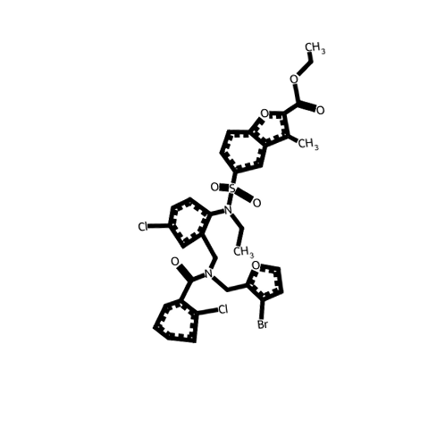 CCOC(=O)c1oc2ccc(S(=O)(=O)N(CC)c3ccc(Cl)cc3CN(Cc3occc3Br)C(=O)c3ccccc3Cl)cc2c1C